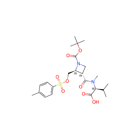 Cc1ccc(S(=O)(=O)OC[C@@H]2[C@@H](C(=O)N(C)[C@H](C(=O)O)C(C)C)CN2C(=O)OC(C)(C)C)cc1